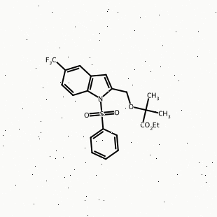 CCOC(=O)C(C)(C)OCc1cc2cc(C(F)(F)F)ccc2n1S(=O)(=O)c1ccccc1